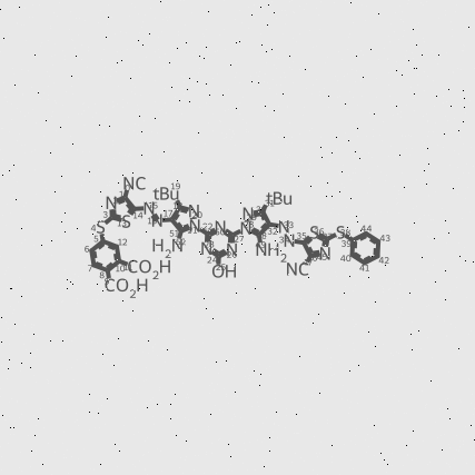 [C-]#[N+]c1nc(Sc2ccc(C(=O)O)c(C(=O)O)c2)sc1N=Nc1c(C(C)(C)C)nn(-c2nc(O)nc(-n3nc(C(C)(C)C)c(N=Nc4sc(Sc5ccccc5)nc4C#N)c3N)n2)c1N